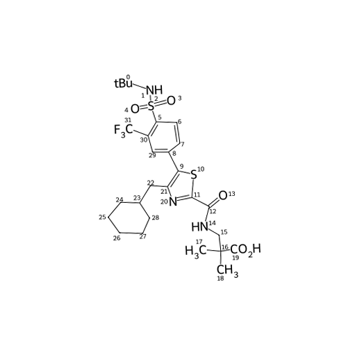 CC(C)(C)NS(=O)(=O)c1ccc(-c2sc(C(=O)NCC(C)(C)C(=O)O)nc2CC2CCCCC2)cc1C(F)(F)F